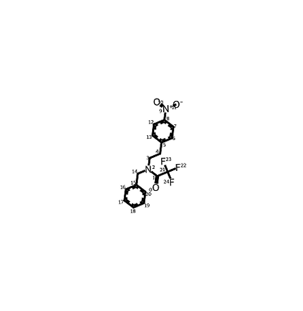 O=C(N(CCc1ccc([N+](=O)[O-])cc1)Cc1ccccc1)C(F)(F)F